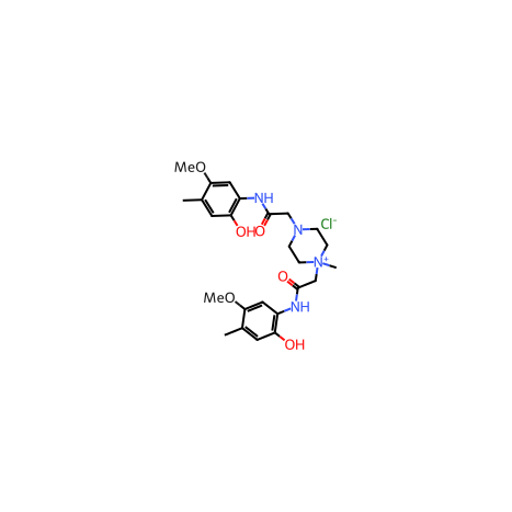 COc1cc(NC(=O)CN2CC[N+](C)(CC(=O)Nc3cc(OC)c(C)cc3O)CC2)c(O)cc1C.[Cl-]